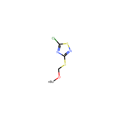 CCCCOCSc1nsc(Cl)n1